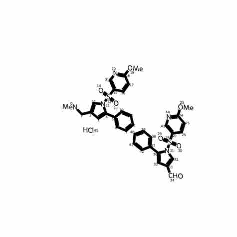 CNCc1cc(-c2ccccc2)n(S(=O)(=O)c2ccc(OC)nc2)c1.COc1ccc(S(=O)(=O)n2cc(C=O)cc2-c2ccccc2)cn1.Cl